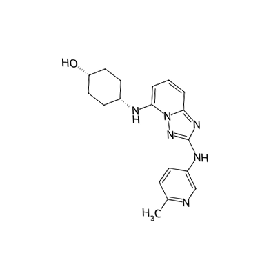 Cc1ccc(Nc2nc3cccc(N[C@H]4CC[C@@H](O)CC4)n3n2)cn1